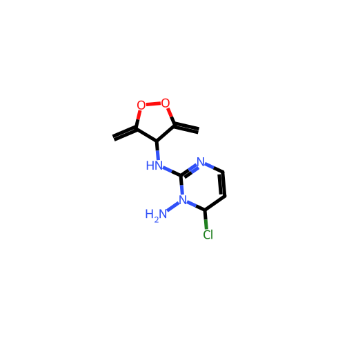 C=C1OOC(=C)C1NC1=NC=CC(Cl)N1N